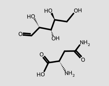 NC(=O)C[C@H](N)C(=O)O.O=C[C@H](O)[C@@H](O)[C@@H](O)CO